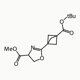 COC(=O)C1COC(C23CC(C(=O)OC(C)(C)C)(C2)C3)=N1